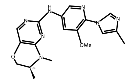 COc1cc(Nc2ncc3c(n2)N(C)[C@@H](C)CO3)cnc1-n1cnc(C)c1